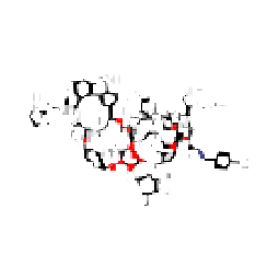 CN[C@H](CC(C)C)C(=O)N[C@H]1C(=O)N[C@@H](CC(N)=O)C(=O)N[C@H]2C(=O)N[C@H]3C(=O)N[C@H](C(=O)N[C@@H](C(=O)NNC4=NCCN4)c4cc(O)cc(O)c4-c4cc3ccc4O)[C@H](O)c3ccc(c(Cl)c3)Oc3cc2cc(c3O[C@@H]2O[C@H](CO)[C@@H](O)[C@H](O)[C@H]2O[C@H]2C[C@](C)(NCCn3ccc(NC(=O)/C=C/c4ccc(Cl)cc4)nc3=O)[C@H](O)[C@H](C)O2)Oc2ccc(cc2Cl)[C@H]1O